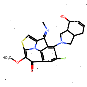 CN=c1c2c(N3CC4CC=CC(O)C4C3)c(F)cc3c(=O)c(OC(=O)O)c4scc1n4c32